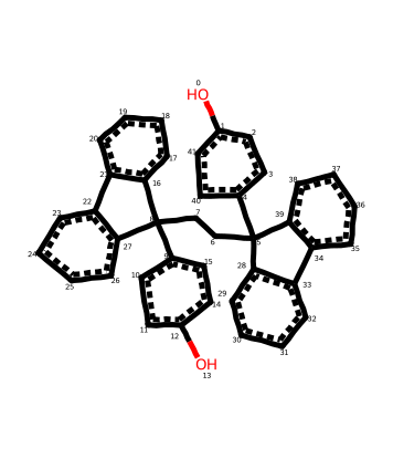 Oc1ccc(C2(CCC3(c4ccc(O)cc4)c4ccccc4-c4ccccc43)c3ccccc3-c3ccccc32)cc1